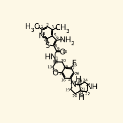 Cc1cc(C)c2c(N)c(C(=O)N[C@H]3COc4cc(N5CC[C@@H]6CNC[C@@H]65)cc(F)c4C3)sc2n1